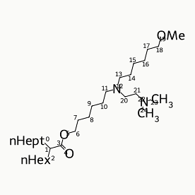 CCCCCCCC(CCCCCC)C(=O)OCCCCCCN(CCCCCCOC)CCN(C)C